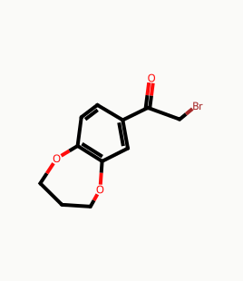 O=C(CBr)c1ccc2c(c1)OCCCO2